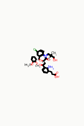 COc1cccc([C@H]2O[C@H](CC(=O)c3cccc(CCC(=O)O)c3N)C(=O)N(CC(C)(C)CO)c3ccc(Cl)cc32)c1OC